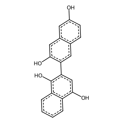 Oc1ccc2cc(-c3cc(O)c4ccccc4c3O)c(O)cc2c1